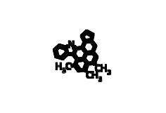 Cc1cc(C)c2c(C)cc3c4c2c1C1C(=Nc2ccccc21)C4C1=C(C=CC1)C3